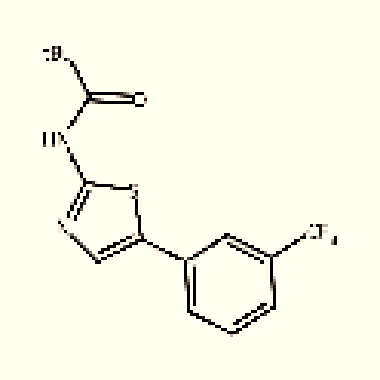 CC(C)(C)C(=O)Nc1ncc(-c2cccc(C(F)(F)F)c2)s1